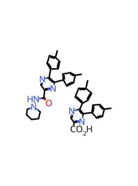 Cc1ccc(-c2ncc(C(=O)NN3CCCCC3)nc2-c2ccc(C)cc2)cc1.Cc1ccc(-c2ncc(C(=O)O)nc2-c2ccc(C)cc2)cc1